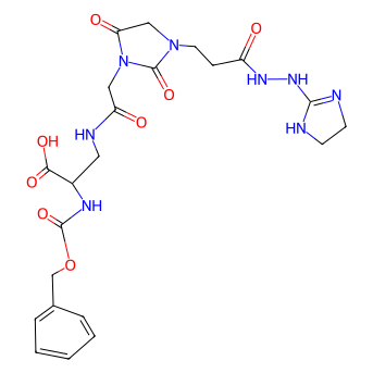 O=C(CN1C(=O)CN(CCC(=O)NNC2=NCCN2)C1=O)NCC(NC(=O)OCc1ccccc1)C(=O)O